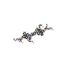 C=CCSc1ccc(C2(c3ccc(OCC(CC)CCCC)cc3)c3ccccc3-c3ccc(N(c4ccccc4)c4ccc(-c5ccc(N(c6ccccc6)c6ccc7c(c6)C(c6ccc(OCC(CC)CCCC)cc6)(c6ccc(SCC=C)cc6)c6ccccc6-7)cc5)cc4)cc32)cc1